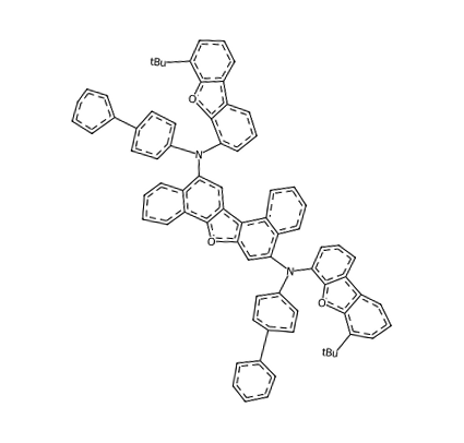 CC(C)(C)c1cccc2c1oc1c(N(c3ccc(-c4ccccc4)cc3)c3cc4c(oc5cc(N(c6ccc(-c7ccccc7)cc6)c6cccc7c6oc6c(C(C)(C)C)cccc67)c6ccccc6c54)c4ccccc34)cccc12